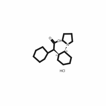 Cl.O=C(O)C(C1CCCCC1)[C@@H]1CCCC[C@H]1N1CCCC1